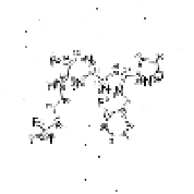 Fc1ccccc1Cn1nc(-c2ncc(F)c(NCCSC(F)(F)F)n2)cc1-c1ccon1